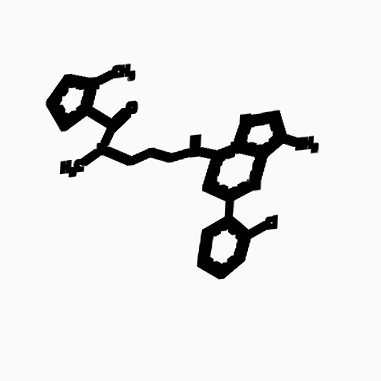 Bc1cnn2c(NCCCN(C)C(=O)c3cccn3C)cc(-c3ccccc3Cl)nc12